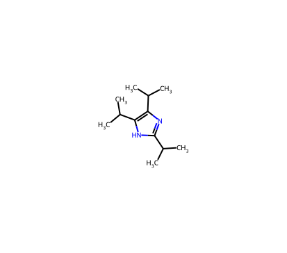 CC(C)c1nc(C(C)C)c(C(C)C)[nH]1